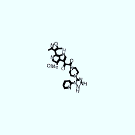 COc1cnc(-c2c(C)noc2C)c2[nH]cc(C(=O)C(=O)N3CCN(C4=NNNN4c4ccccn4)CC3)c12